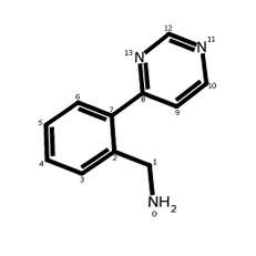 NCc1ccccc1-c1ccncn1